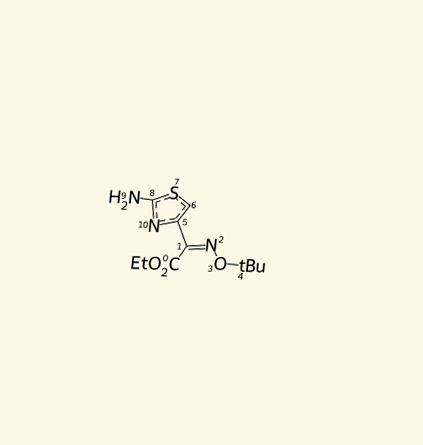 CCOC(=O)C(=NOC(C)(C)C)c1csc(N)n1